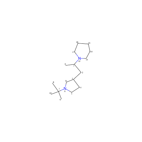 CC(CC1CCN(C(C)(C)C)C1)N1CCCCC1